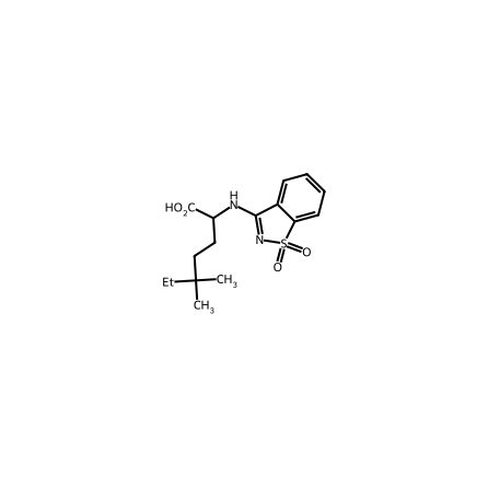 CCC(C)(C)CCC(NC1=NS(=O)(=O)c2ccccc21)C(=O)O